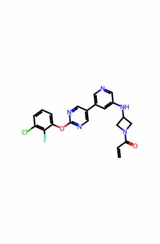 C=CC(=O)N1CC(Nc2cncc(-c3cnc(Oc4cccc(Cl)c4F)nc3)c2)C1